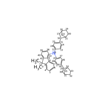 CC1(C)c2ccccc2-c2c(N(c3ccc(C4CC5CCC4C5)cc3)c3ccc(C4CC5CCC4C5)cc3)cccc21